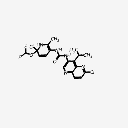 CC1=C(NC(=O)Nc2cnc3ccc(Cl)nc3c2C(C)C)C=CC(Cl)(OC(F)F)N1